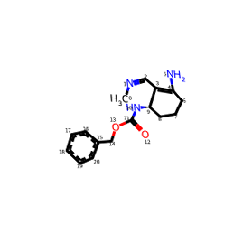 C/N=C\C1=C(N)CCC[C@H]1NC(=O)OCc1ccccc1